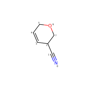 N#CC1[C]=CCOC1